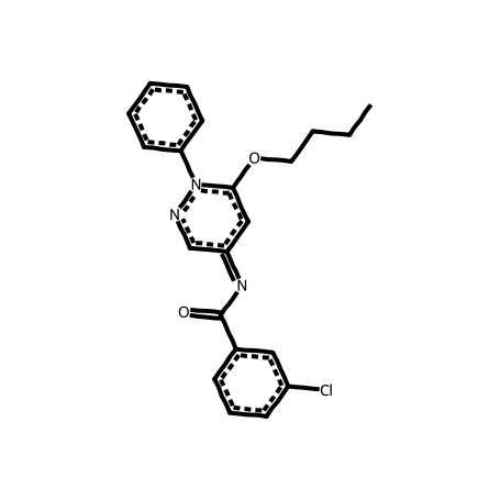 CCCCOc1cc(=NC(=O)c2cccc(Cl)c2)cnn1-c1ccccc1